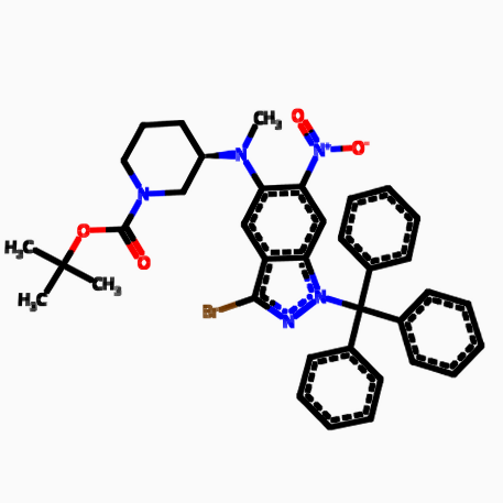 CN(c1cc2c(Br)nn(C(c3ccccc3)(c3ccccc3)c3ccccc3)c2cc1[N+](=O)[O-])[C@@H]1CCCN(C(=O)OC(C)(C)C)C1